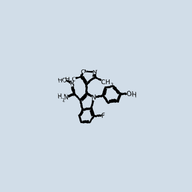 Cc1noc(C)c1-c1c(/C(N)=N/O)c2cccc(F)c2n1-c1ccc(O)cc1